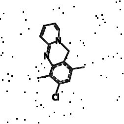 Cc1cc(Cl)c(C)c2c1CN1C=CC=CC1=N2